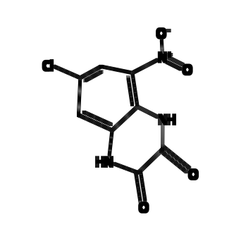 O=c1[nH]c2cc(Cl)cc([N+](=O)[O-])c2[nH]c1=O